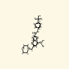 CN(C)c1cc(CN2CCOCC2)nc2nc(NCc3ccc(C(C)(C)C)cc3)nn12